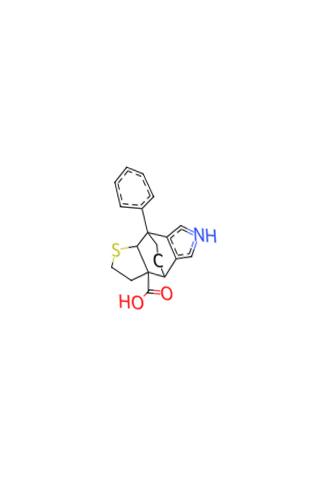 O=C(O)C12CCSC1C1(c3ccccc3)CCC2c2c[nH]cc21